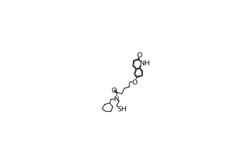 O=C(CCCCOc1ccc2[nH]c(=O)ccc2c1)N(CCS)CC1CCCCC1